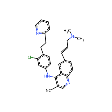 CN(C)C/C=C/c1ccc2ncc(C#N)c(Nc3ccc(CCc4ccccn4)c(Cl)c3)c2c1